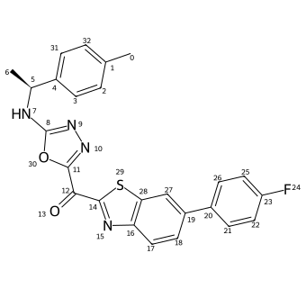 Cc1ccc([C@H](C)Nc2nnc(C(=O)c3nc4ccc(-c5ccc(F)cc5)cc4s3)o2)cc1